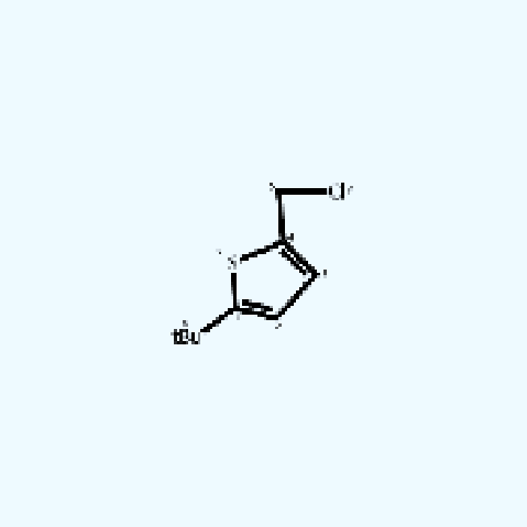 CC(C)(C)c1ccc(CCl)s1